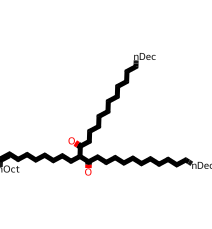 CCCCCCCC/C=C\CCCCCCCC(C(=O)CCCCCCCCCCCCCCCCCCCCC)C(=O)CCCCCCCCCCCCCCCCCCCCC